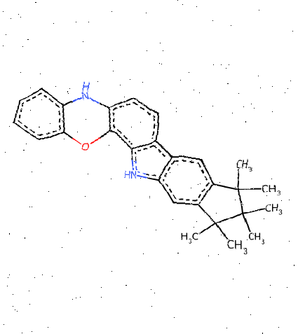 CC1(C)c2cc3[nH]c4c5c(ccc4c3cc2C(C)(C)C1(C)C)Nc1ccccc1O5